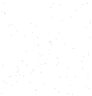 CC(C)(O)c1ncc(S(N)(=O)=NC(=O)Nc2c(-c3ccncc3)ccc3c2CCC3)s1